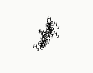 C[C@@H]1CN(c2cc(-c3cc(F)cc(-c4ccc(-n5ccn(C)c5=O)c(Cl)c4)c3O)cn(C)c2=O)CCN1